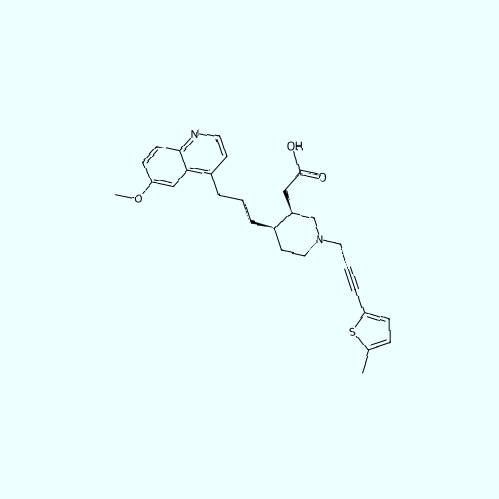 COc1ccc2nccc(CCC[C@@H]3CCN(CC#Cc4ccc(C)s4)C[C@@H]3CC(=O)O)c2c1